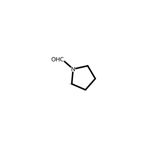 O=CN1[CH]CCC1